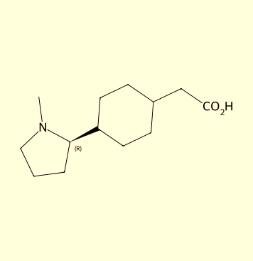 CN1CCC[C@@H]1C1CCC(CC(=O)O)CC1